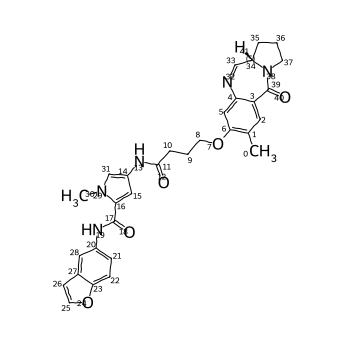 Cc1cc2c(cc1OCCCC(=O)Nc1cc(C(=O)Nc3ccc4occc4c3)n(C)c1)N=C[C@@H]1CCCN1C2=O